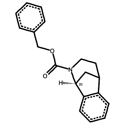 O=C(OCc1ccccc1)N1CCC2C[C@H]1c1ccccc12